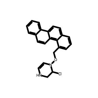 ClC1CNC=CN1OCc1cccc2ccc3c4ccccc4ccc3c12